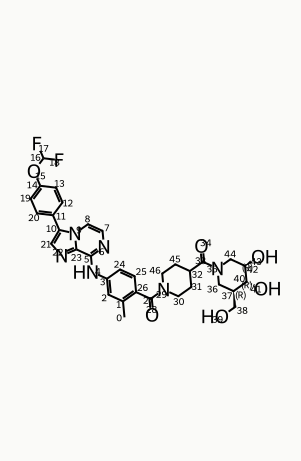 Cc1cc(Nc2nccn3c(-c4ccc(OC(F)F)cc4)cnc23)ccc1C(=O)N1CCC(C(=O)N2C[C@H](CO)[C@@H](O)[C@H](O)C2)CC1